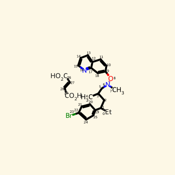 CCC(CC(C)CN(C)Oc1ccc2cccnc2c1)c1ccc(Br)cc1.O=C(O)C=CC(=O)O